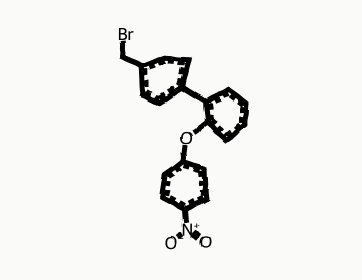 O=[N+]([O-])c1ccc(Oc2ccccc2-c2ccc(CBr)cc2)cc1